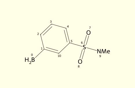 Bc1cccc(S(=O)(=O)NC)c1